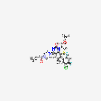 C=CC(=O)N1CCN(c2nc(=O)n3c4c(c(-c5cc(Cl)c(F)cc5F)c(C(F)(F)F)cc24)SCC3COC2CC2)CC1